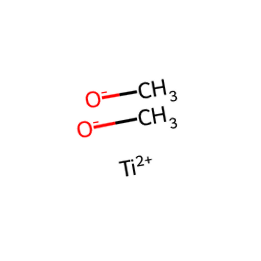 C[O-].C[O-].[Ti+2]